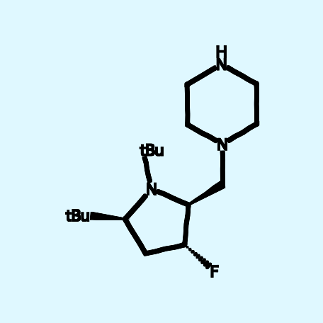 CC(C)(C)[C@@H]1C[C@@H](F)[C@H](CN2CCNCC2)N1C(C)(C)C